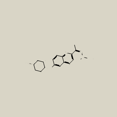 C/C(=N/[S+]([O-])C(C)(C)C)c1ccc2cc(O[C@H]3CC[C@H](C(C)(C)C)CC3)ccc2n1